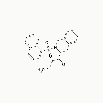 CCOC(=O)C1Cc2ccccc2CN1S(=O)(=O)c1cccc2ccccc12